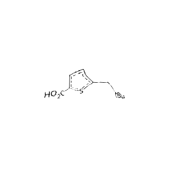 CC(C)(C)Cc1ccc(C(=O)O)s1